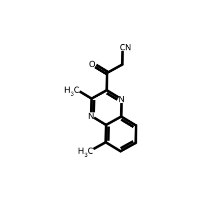 Cc1nc2c(C)cccc2nc1C(=O)CC#N